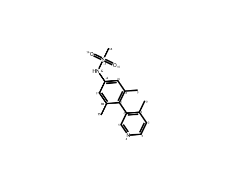 Cc1ccncc1-c1c(C)cc(NS(C)(=O)=O)cc1C